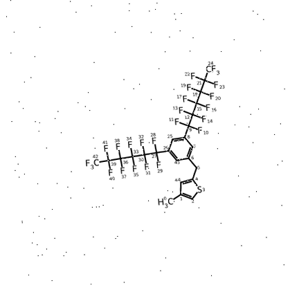 Cc1csc(Cc2cc(C(F)(F)C(F)(F)C(F)(F)C(F)(F)C(F)(F)C(F)(F)F)cc(C(F)(F)C(F)(F)C(F)(F)C(F)(F)C(F)(F)C(F)(F)F)c2)c1